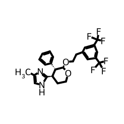 Cc1c[nH]c([C@@H]2CCO[C@H](OCCc3cc(C(F)(F)F)cc(C(F)(F)F)c3)[C@H]2c2ccccc2)n1